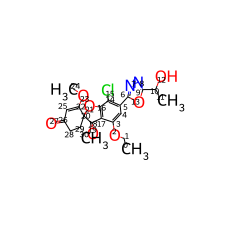 CCOc1cc(-c2nnc(C(C)O)o2)c(Cl)c2c1C(=O)[C@@]1(O2)C(OC)=CC(=O)C[C@H]1C